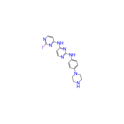 Ic1nccc(Nc2ccnc(Nc3ccc(N4CCNCC4)cc3)n2)n1